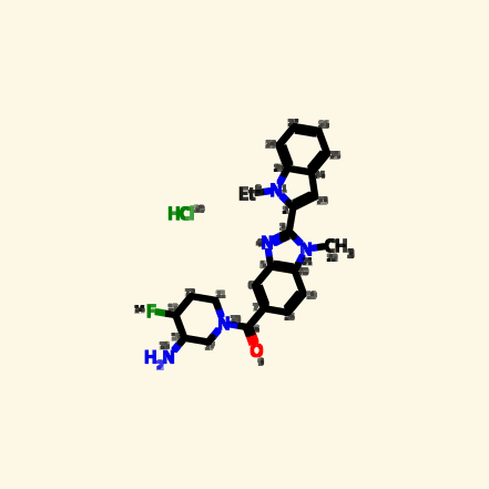 CCn1c(-c2nc3cc(C(=O)N4CCC(F)C(N)C4)ccc3n2C)cc2ccccc21.Cl